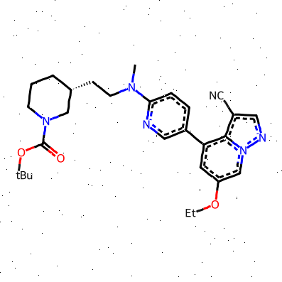 CCOc1cc(-c2ccc(N(C)CC[C@H]3CCCN(C(=O)OC(C)(C)C)C3)nc2)c2c(C#N)cnn2c1